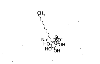 CCCCCCCCCCCCCCC1(OS(=O)(=O)[O-])O[C@H](CO)[C@@H](O)[C@H](O)[C@H]1O.[Na+]